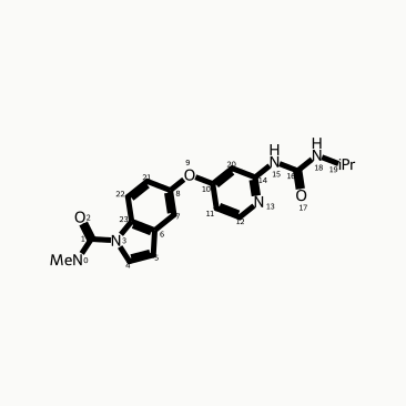 CNC(=O)n1ccc2cc(Oc3ccnc(NC(=O)NC(C)C)c3)ccc21